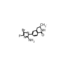 [CH2]C1Cc2cc(-c3nc(Br)c(F)nc3N)ccc2C(=O)N1